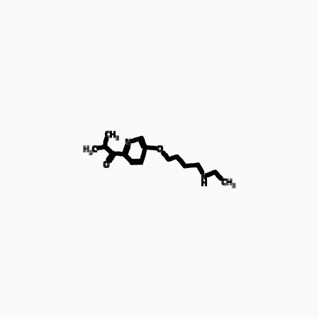 CCNCCCCOc1ccc(C(=O)C(C)C)nc1